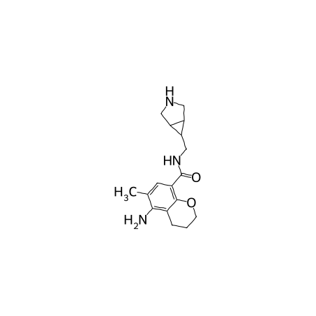 Cc1cc(C(=O)NCC2C3CNCC32)c2c(c1N)CCCO2